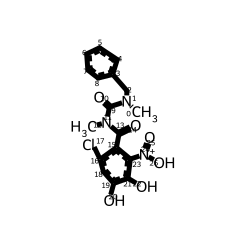 CN(Cc1ccccc1)C(=O)N(C)C(=O)c1c(Cl)cc(O)c(O)c1[N+](=O)O